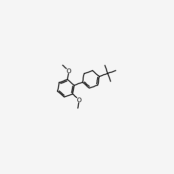 COc1cccc(OC)c1C1=CC=C(C(C)(C)C)CC1